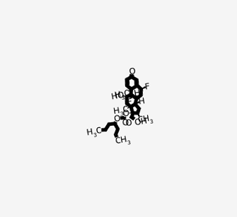 CCCC(CCC)OC(=O)O[C@@]1(C(=O)O)[C@H](C)C[C@H]2[C@@H]3C[C@H](F)C4=CC(=O)C=C[C@]4(C)C3(F)[C@@H](O)C[C@@]21C